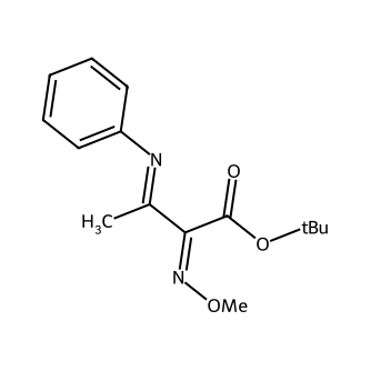 CO/N=C(C(=O)OC(C)(C)C)/C(C)=N/c1ccccc1